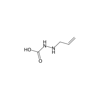 C=CCNNC(=O)O